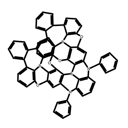 c1ccc(N2c3cccc4c3B(c3c2cc2c5c3Oc3cccc6c3B5c3c(cccc3-c3ccccc3-6)O2)c2c(cc3c5c2Oc2cccc6c2B5c2c(cccc2-c2ccccc2-6)O3)N4c2ccccc2)cc1